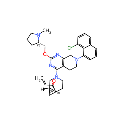 C=CC(=O)[C@]12CCN(c3nc(OC[C@@H]4CCCN4C)nc4c3CCN(c3cccc5cccc(Cl)c35)C4)C[C@H]1C2